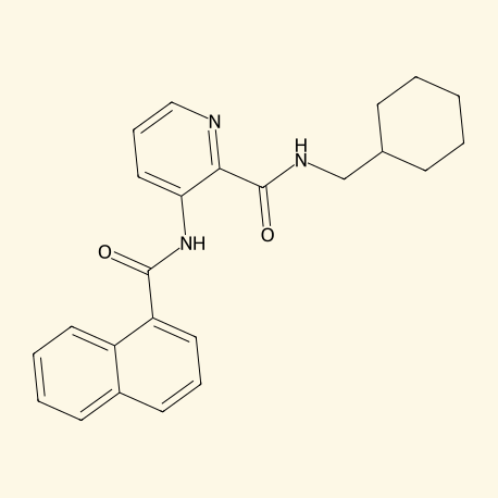 O=C(NCC1CCCCC1)c1ncccc1NC(=O)c1cccc2ccccc12